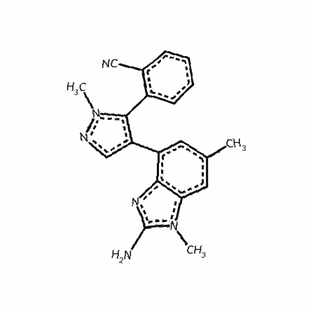 Cc1cc(-c2cnn(C)c2-c2ccccc2C#N)c2nc(N)n(C)c2c1